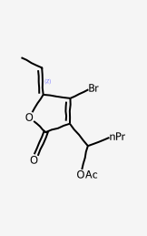 C/C=C1\OC(=O)C(C(CCC)OC(C)=O)=C1Br